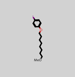 COCCCCCCCCOc1ccc(I)cc1